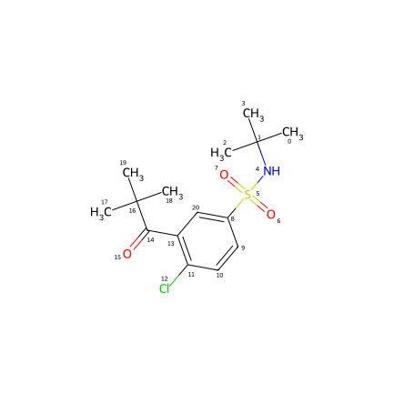 CC(C)(C)NS(=O)(=O)c1ccc(Cl)c(C(=O)C(C)(C)C)c1